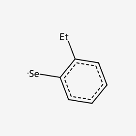 CCc1ccccc1[Se]